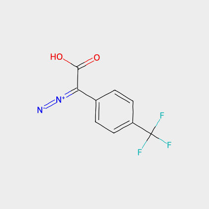 [N-]=[N+]=C(C(=O)O)c1ccc(C(F)(F)F)cc1